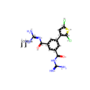 CS(=O)(=O)O.CS(=O)(=O)O.N=C(N)NC(=O)c1cc(C(=O)N=C(N)N)cc(-c2cc(Cl)sc2Cl)c1